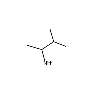 CC(C)C(C)[NH]